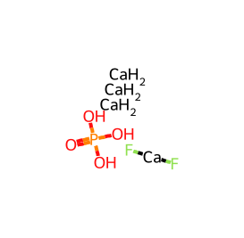 O=P(O)(O)O.[CaH2].[CaH2].[CaH2].[F][Ca][F]